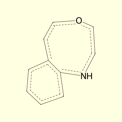 c1ccc2[nH]ccoccc2c1